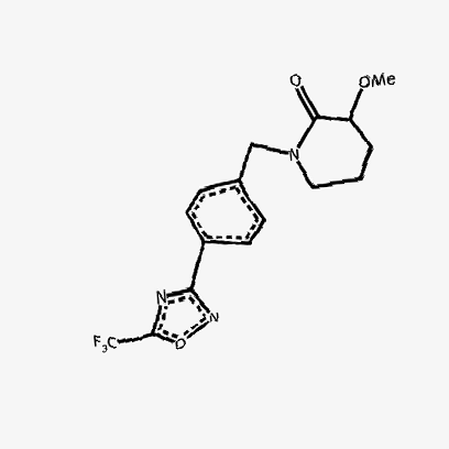 COC1CCCN(Cc2ccc(-c3noc(C(F)(F)F)n3)cc2)C1=O